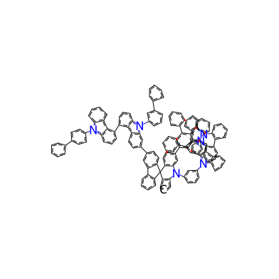 c1ccc(-c2ccc(-n3c4ccccc4c4c(-c5cccc6c5c5ccc(-c7ccc8c(c7)-c7ccccc7C87c8ccccc8N(c8cccc(-n9c%10ccccc%10c%10ccccc%109)c8)c8cc(-c9cc(-c%10ccccc%10)c%10c%11ccccc%11n(-c%11ccccc%11-c%11ccccc%11-n%11c%12ccccc%12c%12c(-c%13ccccc%13)cccc%12%11)c%10c9)ccc87)cc5n6-c5cccc(-c6ccccc6)c5)cccc43)cc2)cc1